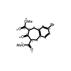 COC(=O)C1Cc2ccc(Br)cc2CC(C(=O)OC)C1=O